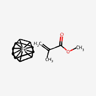 C=C(C)C(=O)OC.[CH]12[CH]3[CH]4[CH]5[CH]1[Fe]23451678[CH]2[CH]1[CH]6[CH]7[CH]28